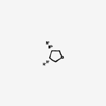 C1CCOC1.[B+3].[H-].[H-].[H-]